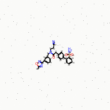 Cc1nc(-c2cccc(CN(CCC#N)C(=O)Cc3ccc(-c4ccccc4S(N)(=O)=O)cc3)c2)no1